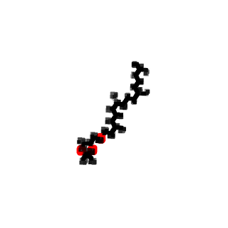 CC(C)CCC[C@@H](C)CCC[C@@H](C)CCCC(C)CCOCC1COC(C)(C)O1